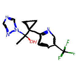 CC(O)(n1cncn1)C1(c2ccc(C(F)(F)F)cn2)CC1